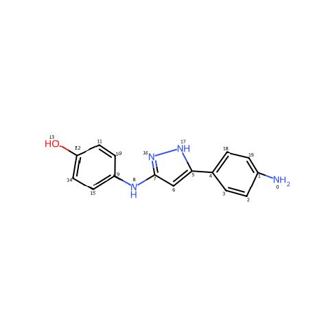 Nc1ccc(-c2cc(Nc3ccc(O)cc3)n[nH]2)cc1